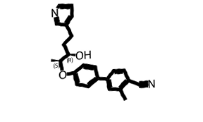 Cc1cc(-c2ccc(O[C@@H](C)[C@H](O)CCc3cccnc3)cc2)ccc1C#N